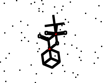 CC(C)(C)OC(=O)N1CC2CC(C1)C2COS(C)(=O)=O